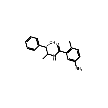 Cc1ccc(N)cc1C(=O)NC(C)[C@@H](O)c1ccccc1